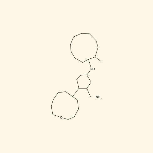 CC1CCCCCCCCCC1NC1CCC(C2CCCCCCCCCC2)C(CN)C1